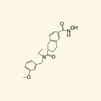 COc1cccc(CN2CC[C@]3(CCc4cc(C(=O)NO)ccc4C3)C2=O)c1